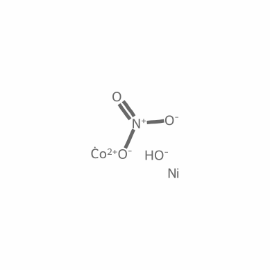 O=[N+]([O-])[O-].[Co+2].[Ni].[OH-]